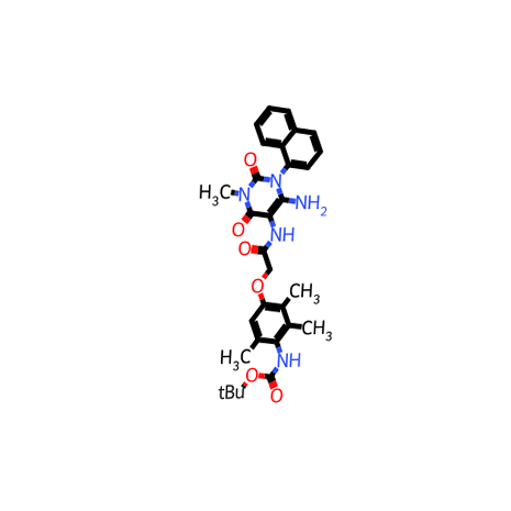 Cc1cc(OCC(=O)Nc2c(N)n(-c3cccc4ccccc34)c(=O)n(C)c2=O)c(C)c(C)c1NC(=O)OC(C)(C)C